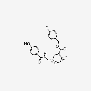 C[C@@H]1CO[C@H](CNC(=O)c2ccc(O)cc2)CN1C(=O)OCc1ccc(F)cc1